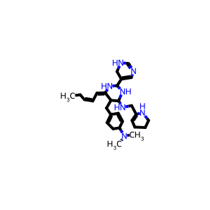 CC/C=C\C=C1\NC(C2=CN=CNC2)NC(NCC2=CCCCN2)C1CC1=CCC(N(C)C)C=C1